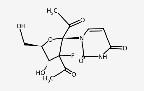 CC(=O)C1(F)[C@H](O)[C@@H](CO)O[C@@]1(C(C)=O)n1ccc(=O)[nH]c1=O